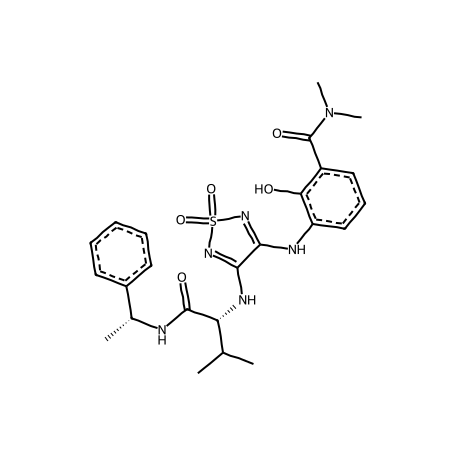 CC(C)[C@@H](NC1=NS(=O)(=O)N=C1Nc1cccc(C(=O)N(C)C)c1O)C(=O)N[C@H](C)c1ccccc1